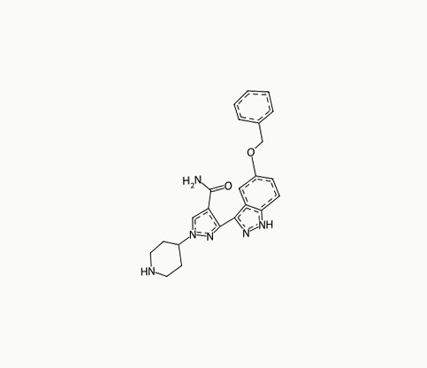 NC(=O)c1cn(C2CCNCC2)nc1-c1n[nH]c2ccc(OCc3ccccc3)cc12